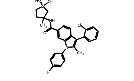 Cc1c(-c2ccccc2Cl)c2ccc(C(=O)NC3(C)CCS(O)(O)C3)cc2n1-c1ccc(F)cc1